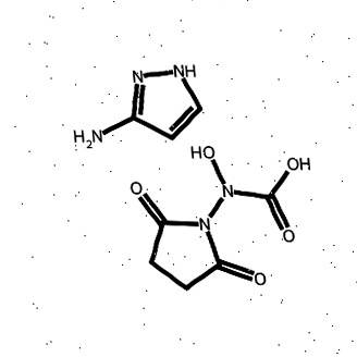 Nc1cc[nH]n1.O=C(O)N(O)N1C(=O)CCC1=O